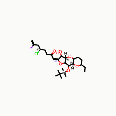 C=C(I)C[C@H](Cl)CCC(=O)/C=C1/OC2C(O[Si](C)(C)C(C)(C)C)[C@H]3OC(CC)CCC3O[C@H]2C1O